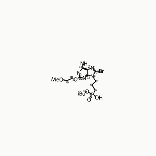 CCC(C)OP(=O)(O)CCCn1c(Br)nc2c(N)nc(OCCOC)nc21